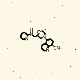 N#Cc1ccc(N2CCOC(CNc3ccccn3)C2)c2cccnc12